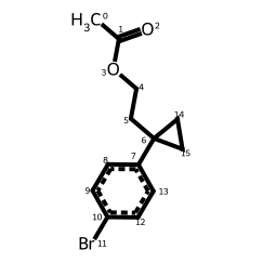 CC(=O)OCCC1(c2ccc(Br)cc2)CC1